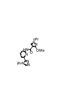 CCCn1cc(C(=O)Nc2cccc(-c3nncn3C(C)C)n2)c(OC)n1